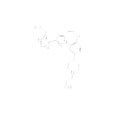 OCCN1CCC(c2ccc3c(c2)-n2nc(-c4ncnn4CC(F)(F)F)cc2CCO3)CC1